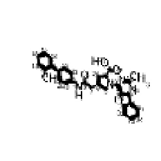 Cc1nc(N2C[C@@H](CC(=O)Nc3ccc(-c4ccccc4C)cc3)C[C@H]2C(=O)O)c2oc3ccccc3c2n1